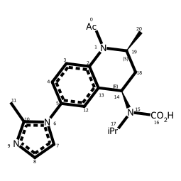 CC(=O)N1c2ccc(-n3ccnc3C)cc2[C@H](N(C(=O)O)C(C)C)C[C@@H]1C